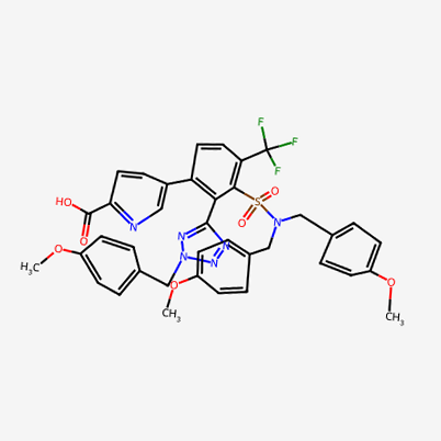 COc1ccc(CN(Cc2ccc(OC)cc2)S(=O)(=O)c2c(C(F)(F)F)ccc(-c3ccc(C(=O)O)nc3)c2-c2nnn(Cc3ccc(OC)cc3)n2)cc1